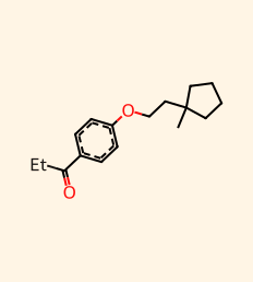 CCC(=O)c1ccc(OCCC2(C)CCCC2)cc1